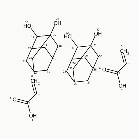 C=CC(=O)O.C=CC(=O)O.OC1C2CC3CC(C2)CC1(O)C3.OC1C2CC3CC(C2)CC1(O)C3